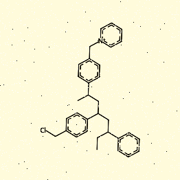 CCC(CC(CC(C)c1ccc(C[n+]2ccccc2)cc1)c1ccc(CCl)cc1)c1ccccc1